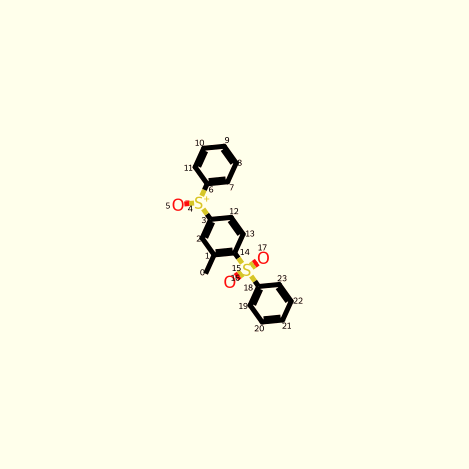 Cc1cc([S+]([O-])c2ccccc2)ccc1S(=O)(=O)c1ccccc1